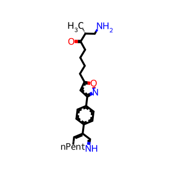 CCCCC/C=C(\C=N)c1ccc(-c2cc(CCCCC(=O)[C@H](C)CN)on2)cc1